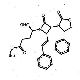 CC(C)(C)OC(=O)CC[C@@H](C=O)N1C(=O)[C@@H](N2C(=O)OC[C@@H]2c2ccccc2)[C@H]1/C=C/c1ccccc1